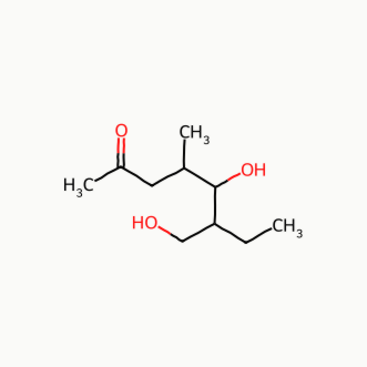 CCC(CO)C(O)C(C)CC(C)=O